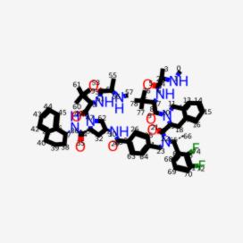 CNC(C)C(=O)NC(C(=O)N1Cc2ccccc2CC1C(=O)N(Cc1ccc(C(=O)N[C@H]2C[C@@H](C(=O)N[C@@H]3CCCc4ccccc43)N(C(=O)C(NC(=O)C(C)NC)C(C)(C)C)C2)cc1)[C@H](C)c1cccc(F)c1F)C(C)(C)C